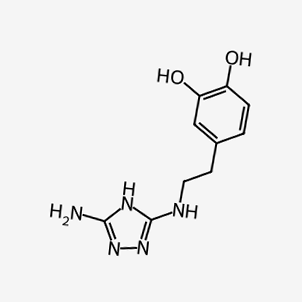 Nc1nnc(NCCc2ccc(O)c(O)c2)[nH]1